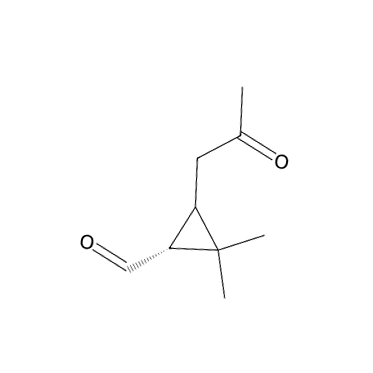 CC(=O)CC1[C@@H](C=O)C1(C)C